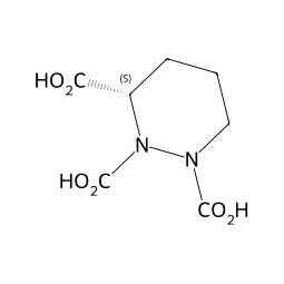 O=C(O)[C@@H]1CCCN(C(=O)O)N1C(=O)O